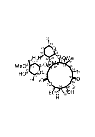 CC[C@H]1OC(=O)[C@H](C)[C@@H](O[C@H]2C[C@@](C)(OC)[C@@H](O)[C@H](C)O2)[C@H](C)[C@@H](O[C@@H]2O[C@H](C)C[C@H](N)[C@H]2OC)[C@@](C)(OC)C[C@@H](C)C(=O)[C@H](C)[C@@H](O)[C@]1(C)O